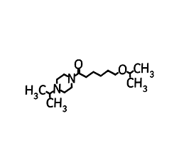 CC(C)OCCCCCC(=O)N1CCN(C(C)C)CC1